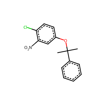 CC(C)(Oc1ccc(Cl)c([N+](=O)[O-])c1)c1ccccc1